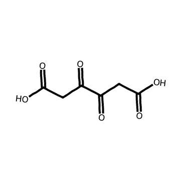 O=C(O)CC(=O)C(=O)CC(=O)O